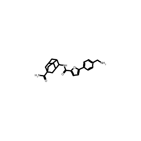 NCc1ccc(-c2ccc(C(=O)NC3C4CC5CC3CC(C(N)=O)(C5)C4)o2)cc1